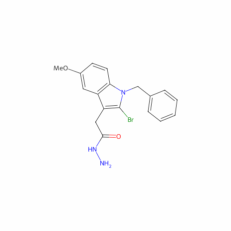 COc1ccc2c(c1)c(CC(=O)NN)c(Br)n2Cc1ccccc1